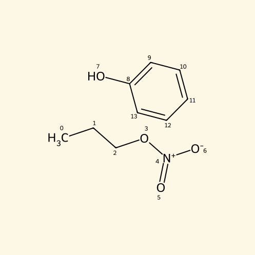 CCCO[N+](=O)[O-].Oc1ccccc1